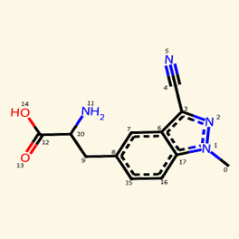 Cn1nc(C#N)c2cc(CC(N)C(=O)O)ccc21